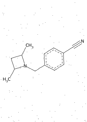 CC1CC(C)N1Cc1ccc(C#N)cc1